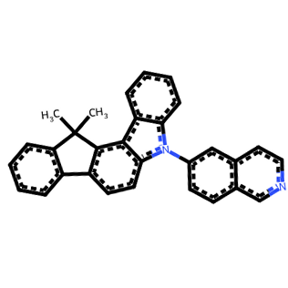 CC1(C)c2ccccc2-c2ccc3c(c21)c1ccccc1n3-c1ccc2cnccc2c1